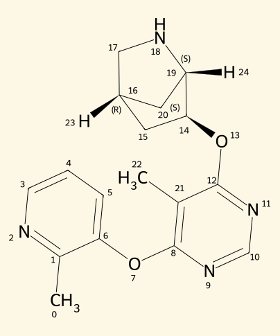 Cc1ncccc1Oc1ncnc(O[C@H]2C[C@@H]3CN[C@H]2C3)c1C